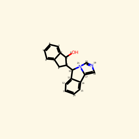 OC1c2ccccc2CC1C1c2ccccc2-c2cncn21